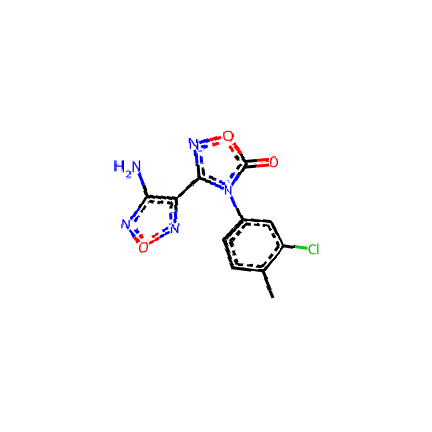 Cc1ccc(-n2c(-c3nonc3N)noc2=O)cc1Cl